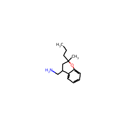 CCCC1(C)CC(CN)c2ccccc2O1